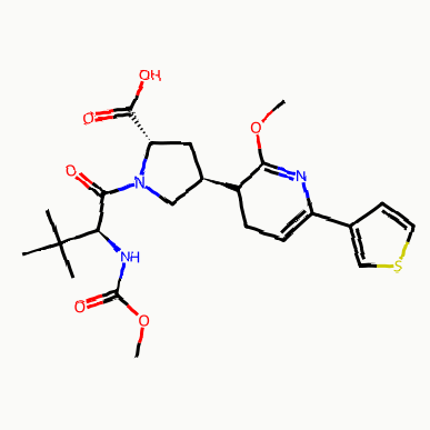 COC(=O)N[C@H](C(=O)N1C[C@H](C2CC=C(c3ccsc3)N=C2OC)C[C@H]1C(=O)O)C(C)(C)C